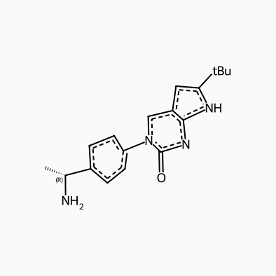 C[C@@H](N)c1ccc(-n2cc3cc(C(C)(C)C)[nH]c3nc2=O)cc1